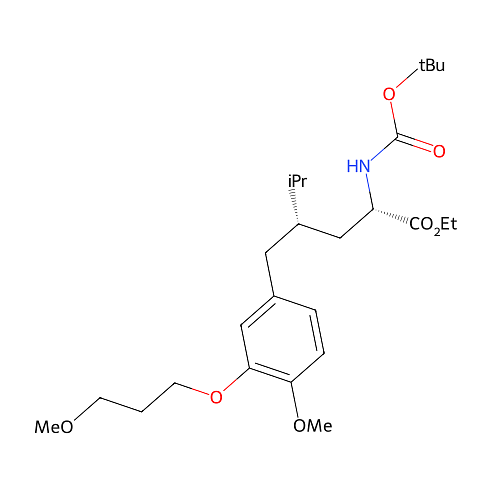 CCOC(=O)[C@H](C[C@H](Cc1ccc(OC)c(OCCCOC)c1)C(C)C)NC(=O)OC(C)(C)C